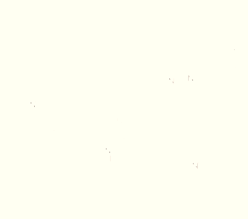 O=C(C=Cc1cnccc1-c1cnn(CC2CC2)c1)Nc1ccc(CN2CCOCC2)cc1